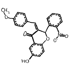 COc1ccc(C=C2C(=O)c3cc(O)ccc3OC2c2ccccc2[N+](=O)[O-])cc1